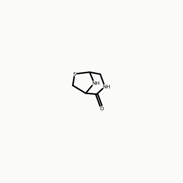 O=C1NCC2NC1CS2